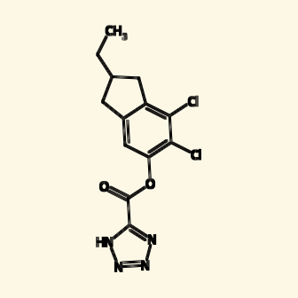 CCC1Cc2cc(OC(=O)c3nnn[nH]3)c(Cl)c(Cl)c2C1